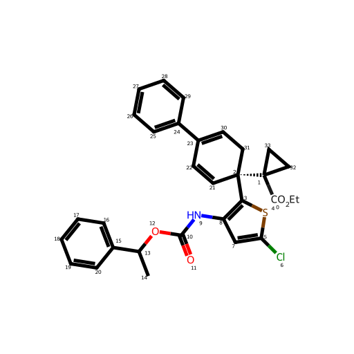 CCOC(=O)C1([C@]2(c3sc(Cl)cc3NC(=O)OC(C)c3ccccc3)C=CC(c3ccccc3)=CC2)CC1